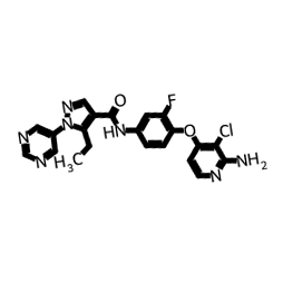 CCc1c(C(=O)Nc2ccc(Oc3ccnc(N)c3Cl)c(F)c2)cnn1-c1cncnc1